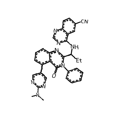 CCC(Nc1ncnc2ccc(C#N)cc12)c1nc2cccc(-c3cnc(N(C)C)nc3)c2c(=O)n1-c1ccccc1